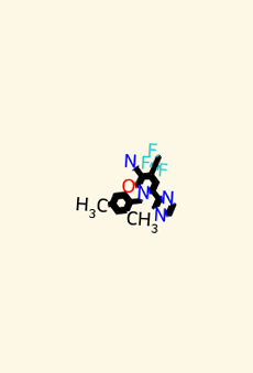 Cc1ccc(Cn2c(-c3cnccn3)cc(C(F)(F)CF)c(C#N)c2=O)c(C)c1